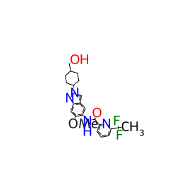 COc1cc2nn(C3CCC(CO)CC3)cc2cc1NC(=O)c1cccc(C(C)(F)F)n1